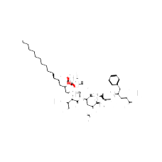 CCCCCCCCCCCCCCC(CNC(C(=O)N(COC(=O)CC(C)C)C(CC(OC(C)=O)c1nc(C(=O)NC(Cc2ccccc2)CC(C)C(=O)O)cs1)C(C)C)C(C)CC)N(C)C